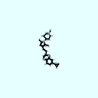 Cc1cc(/C=C/c2cnc3ccc(C4CC4)cc3n2)c(C)n1C1CCN(C)CC1